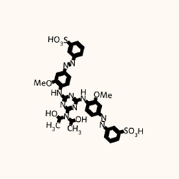 COc1cc(N=Nc2cccc(S(=O)(=O)O)c2)ccc1Nc1nc(Nc2ccc(N=Nc3cccc(S(=O)(=O)O)c3)cc2OC)nc(N(C(C)O)C(C)O)n1